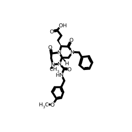 COc1ccc(CNC(=O)N2[C@H]3CN(Cc4ccccc4)C(=O)[C@H](CCC(=O)O)N3C(=O)CN2C)cc1